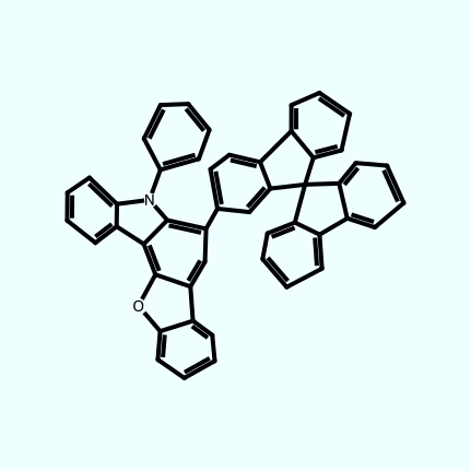 c1ccc(-n2c3ccccc3c3c4oc5ccccc5c4cc(-c4ccc5c(c4)C4(c6ccccc6-c6ccccc64)c4ccccc4-5)c32)cc1